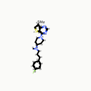 CSc1csc2c(N3CCC(N(C)CCCc4ccc(F)cc4)CC3)ncnc12